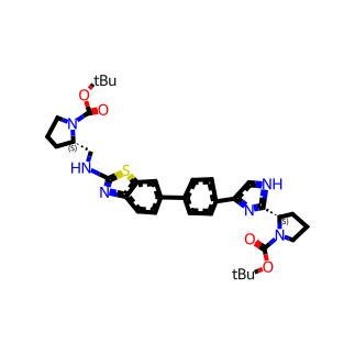 CC(C)(C)OC(=O)N1CCC[C@H]1CNc1nc2ccc(-c3ccc(-c4c[nH]c([C@@H]5CCCN5C(=O)OC(C)(C)C)n4)cc3)cc2s1